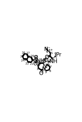 CC(C)C[C@H](NC(=O)[C@@H]1CCCN2C(=O)CC[C@H](NS(=O)(=O)c3ccc4ccccc4c3)C(=O)N12)C(=O)C=[N+]=[N-]